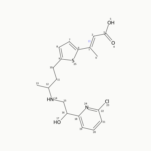 C/C(=C\C(=O)O)c1ccc(CCC(C)NCC(O)c2cccc(Cl)n2)s1